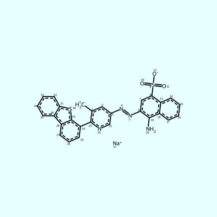 Cc1cc(N=Nc2cc(S(=O)(=O)[O-])c3ccccc3c2N)cnc1-c1cccc2c1sc1ccccc12.[Na+]